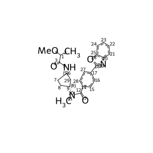 COC(C)C(=O)N[C@H]1CC[C@@H](N(C)C(=O)c2ccc(-c3nc4ccccc4o3)cc2)C1